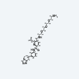 C[C@H](Cc1nncn1C)c1cccc(NC(=O)c2ccc(CNCCOCCOCCOCCN)c(C3CC3)n2)c1